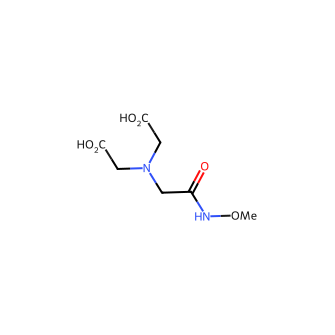 CONC(=O)CN(CC(=O)O)CC(=O)O